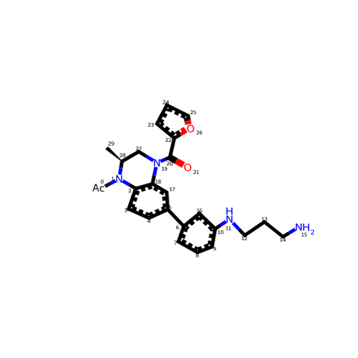 CC(=O)N1c2ccc(-c3cccc(NCCCN)c3)cc2N(C(=O)c2ccco2)C[C@@H]1C